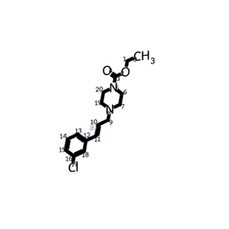 CCOC(=O)N1CCN(C/C=C/c2cccc(Cl)c2)CC1